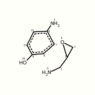 NCC1CO1.Nc1ccc(O)cc1